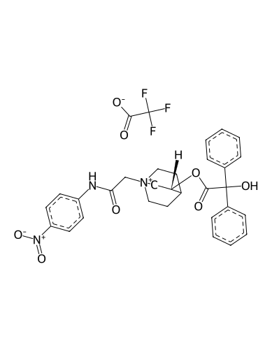 O=C(C[N+]12CCC(CC1)[C@@H](OC(=O)C(O)(c1ccccc1)c1ccccc1)C2)Nc1ccc([N+](=O)[O-])cc1.O=C([O-])C(F)(F)F